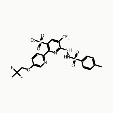 CCS(=O)(=O)c1cc(C(F)(F)F)c(NNS(=O)(=O)c2ccc(C)cc2)nc1-c1ccc(OCC(C)(F)F)cn1